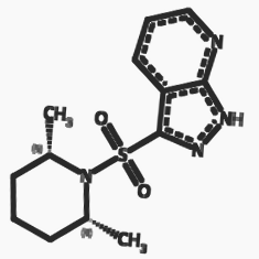 C[C@@H]1CCC[C@H](C)N1S(=O)(=O)c1n[nH]c2ncccc12